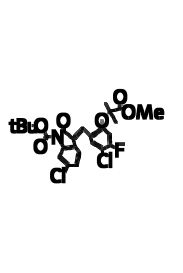 COC(=O)C(C)(C)Oc1cc(F)c(Cl)cc1/C=C1/C(=O)N(C(=O)OC(C)(C)C)c2cc(Cl)ccc21